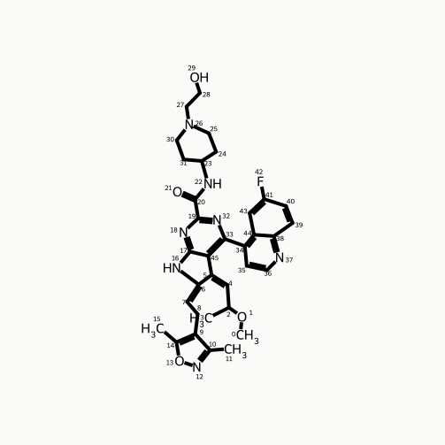 COC(C)/C=c1\c(=C/Cc2c(C)noc2C)[nH]c2nc(C(=O)NC3CCN(CCO)CC3)nc(-c3ccnc4ccc(F)cc34)c12